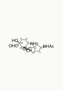 CC(=O)NC1CCC(C=O)(NC2CCC(O)(C=O)C[C@H]2C)C1